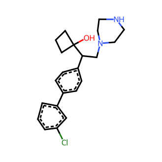 OC1(C(CN2CCNCC2)c2ccc(-c3cccc(Cl)c3)cc2)CCC1